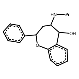 CC(C)NC1CC(c2ccccc2)Oc2ccccc2C1O